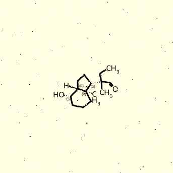 CCC(C)(C=O)[C@H]1CC[C@H]2[C@@H](O)CCC[C@]12C